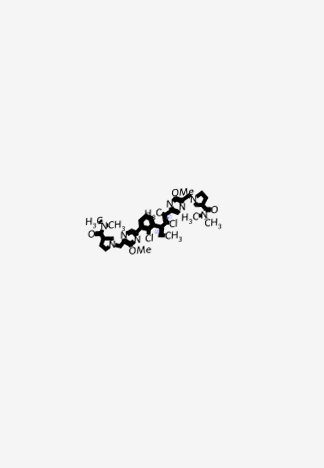 C/C=C(\C(Cl)=C(/C)c1cnc(CN2CCC(C(=O)N(C)C)C2)c(OC)n1)c1cccc(-c2cnc(CN3CCC(C(=O)N(C)C)C3)c(OC)n2)c1Cl